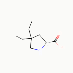 CCC1(CC)CN[C@H](C(=O)O)C1